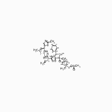 COC[C@H](NC(=O)c1cnc(C)s1)C(=O)N[C@@H](COC)C(=O)N[C@@H](Cc1ccccc1)C(=O)C(C)(CI)OC(=O)CC(C)(C)COC(C)=O